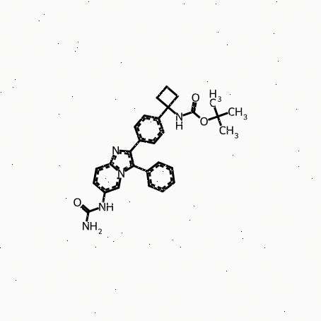 CC(C)(C)OC(=O)NC1(c2ccc(-c3nc4ccc(NC(N)=O)cn4c3-c3ccccc3)cc2)CCC1